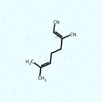 CC(C)=CCC/C(C#N)=C/C#N